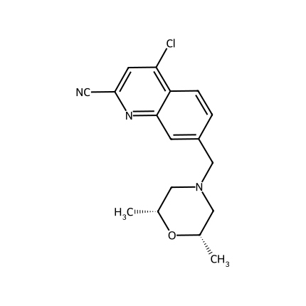 C[C@@H]1CN(Cc2ccc3c(Cl)cc(C#N)nc3c2)C[C@H](C)O1